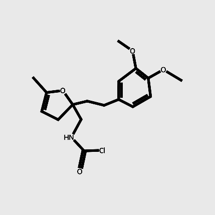 COc1ccc(CCC2(CNC(=O)Cl)CC=C(C)O2)cc1OC